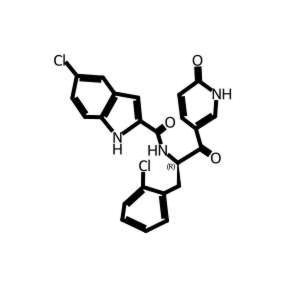 O=C(N[C@H](Cc1ccccc1Cl)C(=O)c1ccc(=O)[nH]c1)c1cc2cc(Cl)ccc2[nH]1